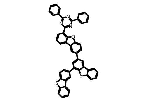 c1ccc(-c2nc(-c3ccccc3)nc(-c3cccc4c3oc3ccc(-c5cc(-c6ccc7sc8ccccc8c7c6)c6sc7ccccc7c6c5)cc34)n2)cc1